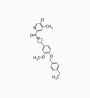 CCc1ccc(COc2ccc(C3CN(C(=O)c4cc(C)c(Cl)cn4)C3)cc2OC)cc1